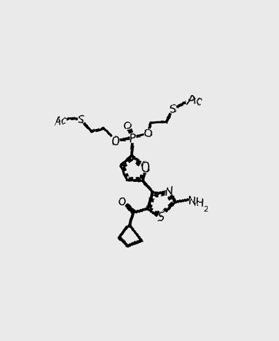 CC(=O)SCCOP(=O)(OCCSC(C)=O)c1ccc(-c2nc(N)sc2C(=O)C2CCC2)o1